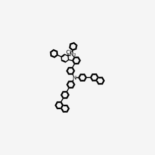 CC12C=C(c3ccccc3)C=CC1c1c(-c3cccc(N(c4ccc(-c5ccc(-c6cccc7ccccc67)cc5)cc4)c4ccc(-c5ccc6ccccc6c5)cc4)c3)cccc1N2c1ccccc1